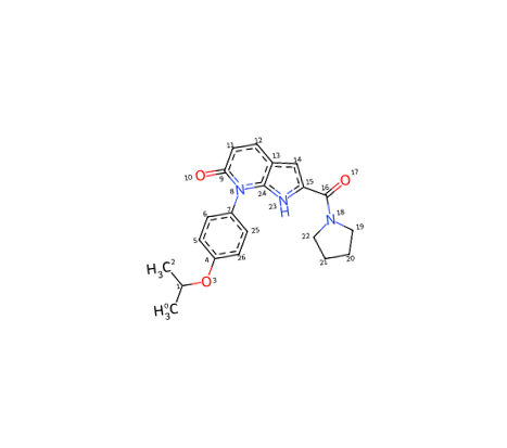 CC(C)Oc1ccc(-n2c(=O)ccc3cc(C(=O)N4CCCC4)[nH]c32)cc1